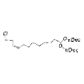 CCCCCCCCCCOC(CCCCCCC/C=C\CCCl)OCCCCCCCCCC